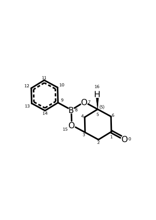 O=C1CC2C[C@@H](C1)OB(c1ccccc1)O2